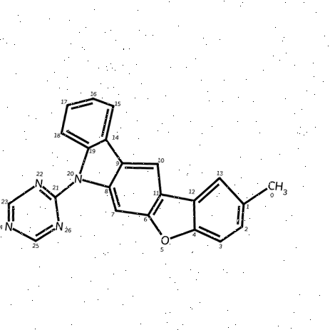 Cc1ccc2oc3cc4c(cc3c2c1)c1ccccc1n4-c1ncncn1